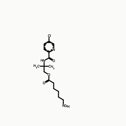 CCCCCCCCCCCCCCCC(=O)OCC(C)(C)NC(=O)c1ccc(Cl)cn1